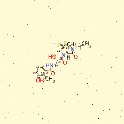 C=CCN1C(=O)[C@H]2N(C(=O)[C@@H](O)CNC(=O)c3cccc(O)c3C)CC(F)(F)C21C